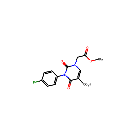 CC(C)(C)OC(=O)Cn1cc(C(=O)O)c(=O)n(-c2ccc(F)cc2)c1=O